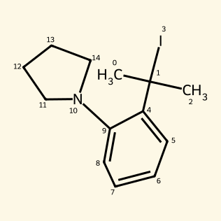 CC(C)(I)c1ccccc1N1CCCC1